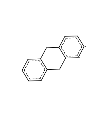 [c]1[c]c2c(cc1)Cc1ccccc1C2